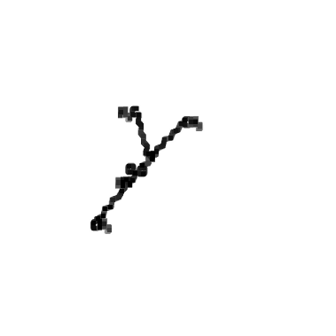 CCCCCCCCCNCC(=O)OCCN(CCCCCCCCC)CCCCCCCCC